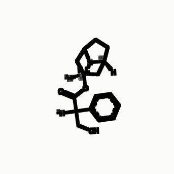 [2H]C(CO)(C(=O)O[C@@]1([2H])CC2CC[C@H](C1)N2C)c1ccccc1